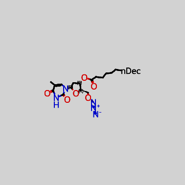 CCCCCCCCCCCCCCCC(=O)O[C@H]1C[C@H](n2cc(C)c(=O)[nH]c2=O)O[C@@H]1CON=[N+]=[N-]